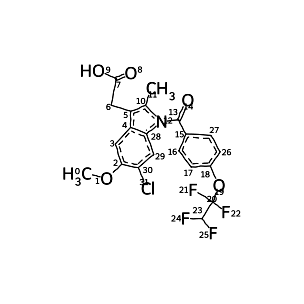 COc1cc2c(CC(=O)O)c(C)n(C(=O)c3ccc(OC(F)(F)C(F)F)cc3)c2cc1Cl